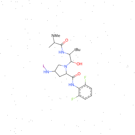 CNC(C)C(=O)NC(C(O)N1CC(NI)CC1C(=O)Nc1c(F)cccc1F)C(C)(C)C